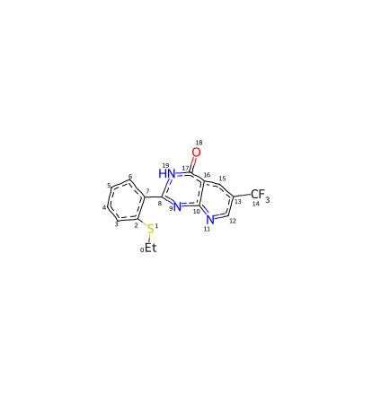 CCSc1ccccc1-c1nc2ncc(C(F)(F)F)cc2c(=O)[nH]1